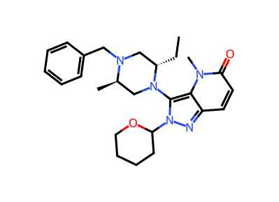 CC[C@H]1CN(Cc2ccccc2)[C@H](C)CN1c1c2c(ccc(=O)n2C)nn1C1CCCCO1